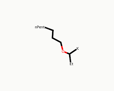 CCCCCCCCO[CH]([K])CC